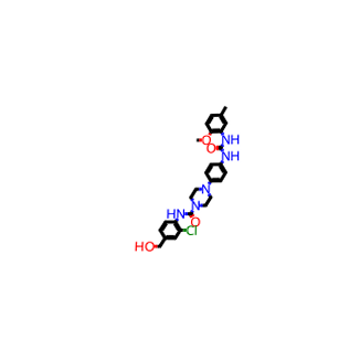 COc1ccc(C)cc1NC(=O)Nc1ccc(N2CCN(C(=O)Nc3ccc(CO)cc3Cl)CC2)cc1